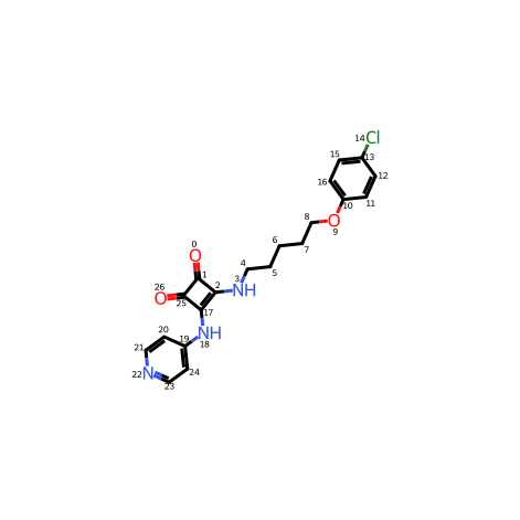 O=c1c(NCCCCCOc2ccc(Cl)cc2)c(Nc2ccncc2)c1=O